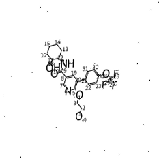 COCCOc1ncc(C(=O)N[C@H]2CCCC[C@@H]2O)cc1-c1ccc(OC(F)(F)F)cc1